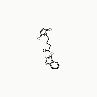 O=C(CCCN1C(=O)C=CC1=O)On1nnc2ccccc21